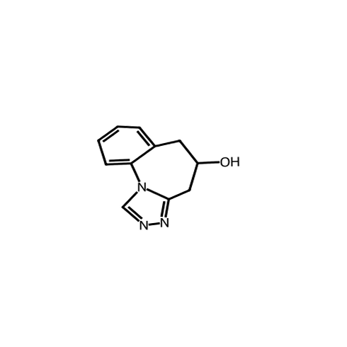 OC1Cc2ccccc2-n2cnnc2C1